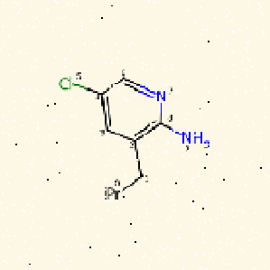 CC(C)Cc1cc(Cl)cnc1N